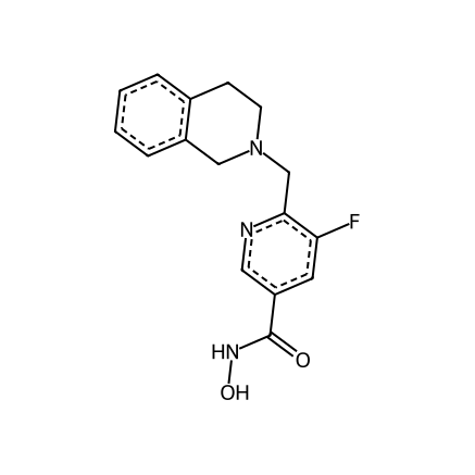 O=C(NO)c1cnc(CN2CCc3ccccc3C2)c(F)c1